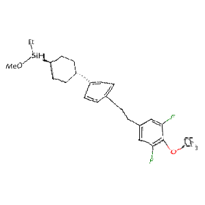 CC[SiH](OC)[C@H]1CC[C@H](c2ccc(CCc3cc(F)c(OC(F)(F)F)c(F)c3)cc2)CC1